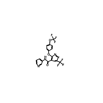 O=C(Nc1cccnc1)c1cc(C(F)(F)F)nnc1Oc1ccc(OC(F)(F)F)cc1